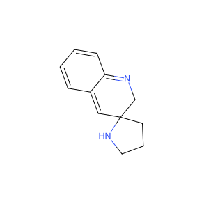 C1=c2ccccc2=NCC12CCCN2